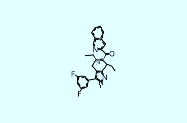 CCC1c2nn(C)c(-c3cc(F)cc(F)c3)c2C[C@@H](CC)[C@H]1C(=O)c1cc2ccccc2cn1